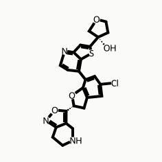 O[C@@]1(c2cc3nccc(-c4cc(Cl)cc5c4O[C@@H](c4onc6c4CNCC6)C5)c3s2)CCOC1